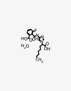 CCCCCCC(C(=O)O)n1cnc(NC(=O)c2c(F)cccc2C(=O)O)c1.O